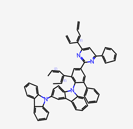 C=C/C=C(\C=C)c1cc(-c2ccccc2)nc(-c2cc(C(/C=C\C)=C/C)c(-n3c4ccccc4c4cc(-n5c6ccccc6c6ccccc65)ccc43)c(-c3ccccc3)c2)n1